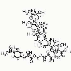 CCC(C(=O)NCCOC(=O)/C(C#N)=C/c1ccc(N(C)C)cc1)[C@H]1CC[C@H](C)[C@H]([C@@H](C)[C@H](O)[C@H](C)C(=O)[C@H](CC)[C@H]2O[C@]3(C=C[C@@H](OC(C)=O)[C@]4(CC[C@@](C)([C@H]5CC[C@](O)(CC)[C@H](C)O5)O4)O3)[C@H](C)C[C@@H]2C)O1